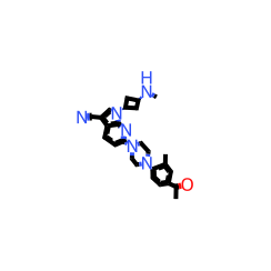 CN[C@H]1C[C@H](n2cc(C#N)c3ccc(N4CCN(c5ccc(C(C)=O)cc5C)CC4)nc32)C1